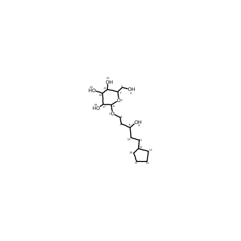 OCC1OC(OCCC(O)CCC2CCCC2)C(O)C(O)C1O